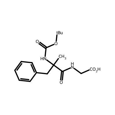 CC(C)(C)OC(=O)NC(C)(Cc1ccccc1)C(=O)NCC(=O)O